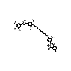 COc1cc(C2NC(=O)c3cc(C)ccc3N2)ccc1OCCCCCCCCCOc1c(OC)cc(C2CC(c3cc(OC)c(OC)c(OC)c3)=NO2)cc1OC